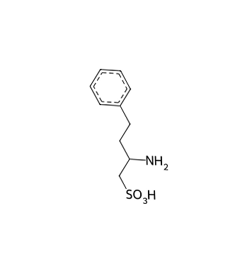 NC(CCc1ccccc1)CS(=O)(=O)O